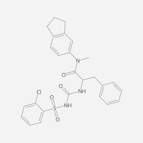 CN(C(=O)C(Cc1ccccc1)NC(=O)NS(=O)(=O)c1ccccc1Cl)c1ccc2c(c1)CCC2